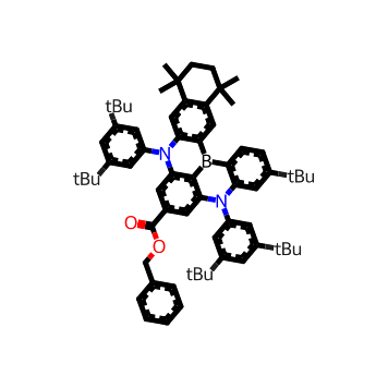 CC(C)(C)c1cc(N2c3cc(C(C)(C)C)ccc3B3c4cc5c(cc4N(c4cc(C(C)(C)C)cc(C(C)(C)C)c4)c4cc(C(=O)OCc6ccccc6)cc2c43)C(C)(C)CCC5(C)C)cc(C(C)(C)C)c1